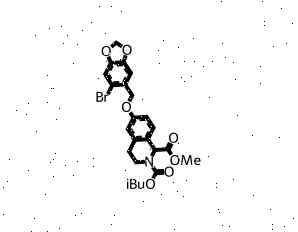 COC(=O)C1c2ccc(OCc3cc4c(cc3Br)OCO4)cc2CCN1C(=O)OCC(C)C